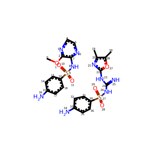 COc1nccnc1NS(=O)(=O)c1ccc(N)cc1.Cc1nc(NC(=N)NS(=O)(=O)c2ccc(N)cc2)oc1C